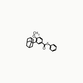 COc1ccc(C(=O)Sc2ccccc2)cc1C12CC3CC(CC(C3)C1)C2